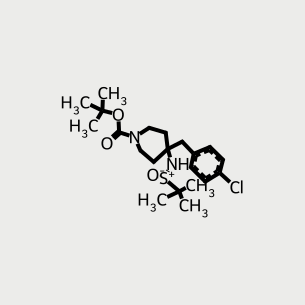 CC(C)(C)OC(=O)N1CCC(Cc2ccc(Cl)cc2)(N[S+]([O-])C(C)(C)C)CC1